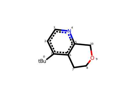 CC(C)(C)c1ccnc2c1CCOC2